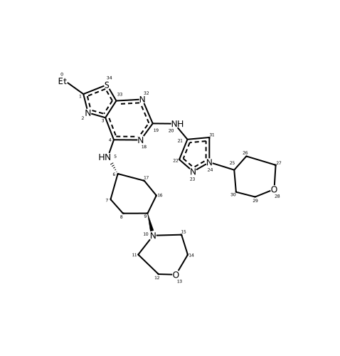 CCc1nc2c(N[C@H]3CC[C@H](N4CCOCC4)CC3)nc(Nc3cnn(C4CCOCC4)c3)nc2s1